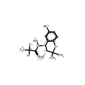 CC1(C)Oc2ccc(C#N)cc2[C@H](N(O)C(=O)C(F)(F)C(F)(F)F)[C@H]1O